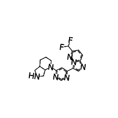 FC(F)c1ccc2ncc(-c3cc(N4CCCC5CNCC54)ncn3)n2n1